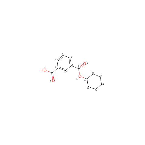 O=C(O)c1cccc(C(=O)OC2CCCCC2)c1